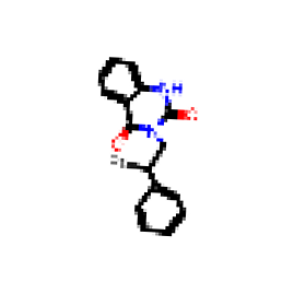 CCC(Cn1c(=O)[nH]c2ccccc2c1=O)c1ccccc1